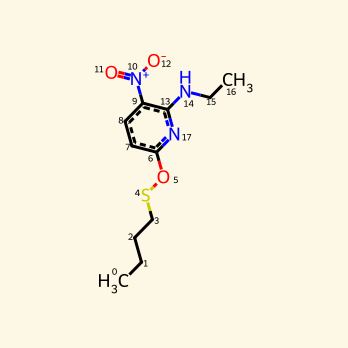 CCCCSOc1ccc([N+](=O)[O-])c(NCC)n1